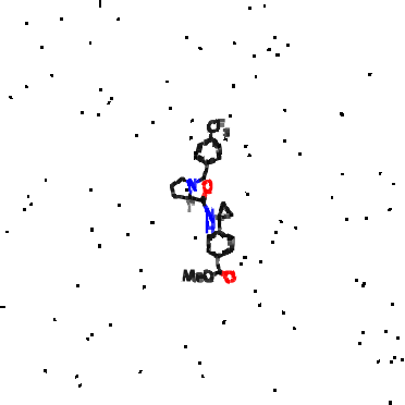 COC(=O)c1ccc(C2(NC(=O)[C@@]3(C)CCCN3Cc3ccc(C(F)(F)F)cc3)CC2)cc1